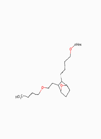 CCCCCCOCCCCC1C2CCC(O2)C1CCOCCCC(=O)O